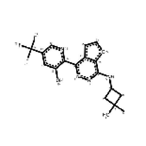 CC1(O)CC(Nc2nnc(-c3ncc(C(F)(F)F)cc3O)c3ccoc23)C1